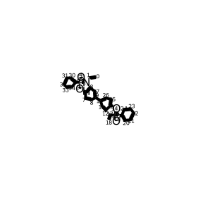 C=CNP(=O)(Oc1ccc(-c2ccc(OP(=O)(C=C)c3ccccc3)cc2)cc1)c1ccccc1